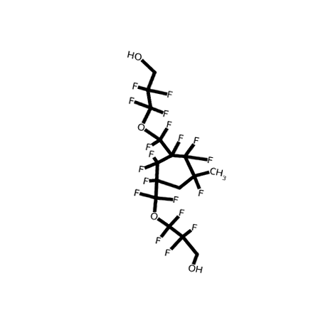 CC1(F)CC(F)(C(F)(F)OC(F)(F)C(F)(F)CO)C(F)(F)C(F)(C(F)(F)OC(F)(F)C(F)(F)CO)C1(F)F